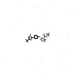 Cn1cc(C(C)(C)C)nc1-c1ccc(C[C@H]2COC(C)(C)N2C(=O)OC(C)(C)C)cc1